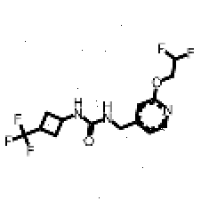 O=C(NCc1ccnc(OCC(F)F)c1)NC1CC(C(F)(F)F)C1